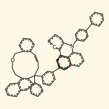 C1=C\c2ccccc2COCCc2c(ccc3ccccc23)C(c2ccccc2)(c2cccc(-c3ccc4c(N(c5ccc(-c6ccccc6)cc5)c5ccccc5-c5ccccc5)cccc4c3)c2)C/1